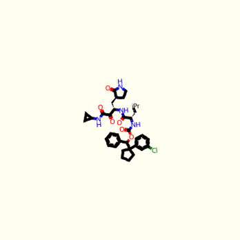 CC(C)C[C@H](NC(=O)OC(c1ccccc1)C1(c2cccc(Cl)c2)CCCC1)C(=O)N[C@@H](C[C@@H]1CCNC1=O)C(=O)C(=O)NC1CC1